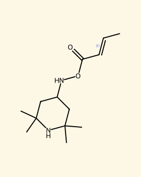 C/C=C/C(=O)ONC1CC(C)(C)NC(C)(C)C1